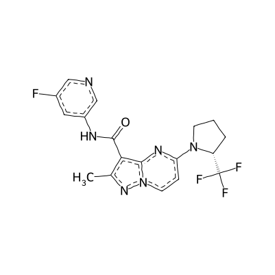 Cc1nn2ccc(N3CCC[C@@H]3C(F)(F)F)nc2c1C(=O)Nc1cncc(F)c1